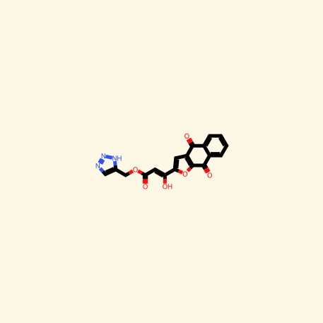 O=C(/C=C(\O)c1cc2c(o1)C(=O)c1ccccc1C2=O)OCc1cnn[nH]1